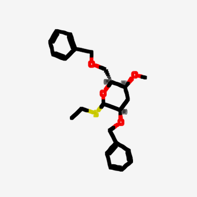 CCSC1O[C@H](COCc2ccccc2)[C@@H](OC)C[C@H]1OCc1ccccc1